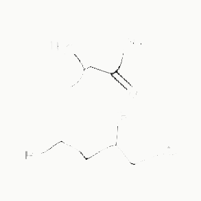 CC(C)(C)CC(O)CCO.CC(C)C(=O)O